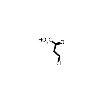 O=C(O)C(=O)CCCl